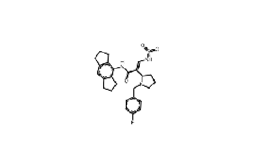 O=C(Nc1c2c(cc3c1CCC3)CCC2)C(=CN[SH](=O)=O)C1CCCN1Cc1ccc(F)cc1